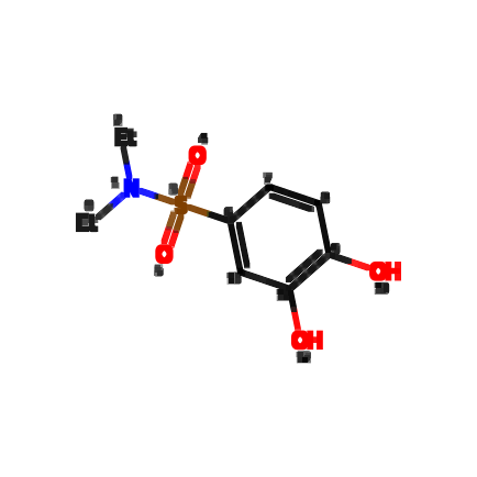 CCN(CC)S(=O)(=O)c1ccc(O)c(O)c1